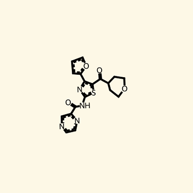 O=C(Nc1nc(-c2ccco2)c(C(=O)C2CCOCC2)s1)c1cnccn1